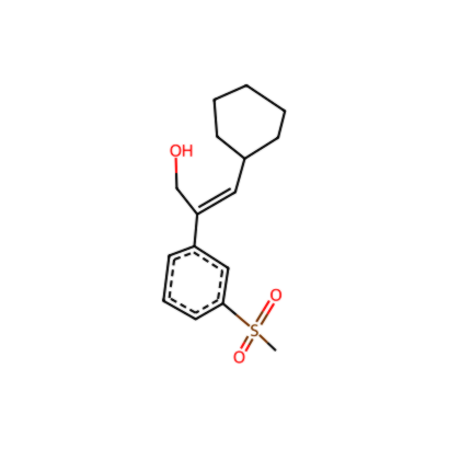 CS(=O)(=O)c1cccc(C(=CC2CCCCC2)CO)c1